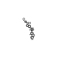 Cc1cc(-c2nc(-c3ccc4c(c3)CCC4N[C@H]3C[C@H](C=O)C3)no2)cc(C)c1-c1ccncc1F